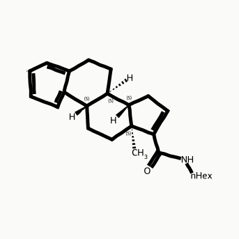 CCCCCCNC(=O)C1=CC[C@H]2[C@@H]3CCc4c[c]ccc4[C@H]3CC[C@]12C